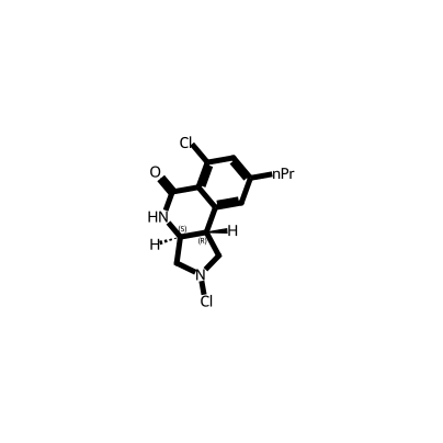 CCCc1cc(Cl)c2c(c1)[C@@H]1CN(Cl)C[C@H]1NC2=O